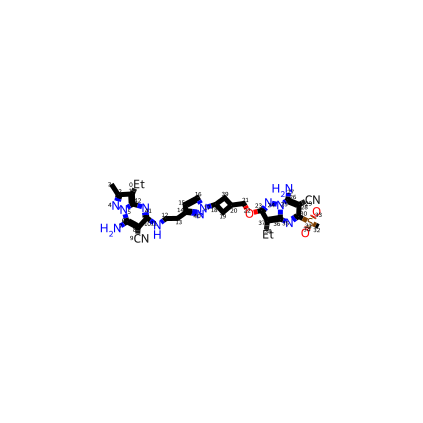 CCc1c(C)nn2c(N)c(C#N)c(NCCc3ccn(C4CC(COc5nn6c(N)c(C#N)c(S(C)(=O)=O)nc6c5CC)C4)n3)nc12